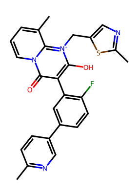 Cc1ccc(-c2ccc(F)c(-c3c(O)[n+](Cc4cnc(C)s4)c4c(C)cccn4c3=O)c2)cn1